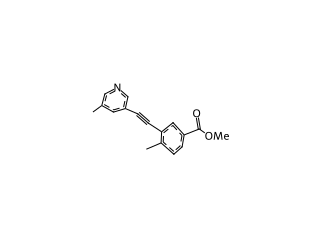 COC(=O)c1ccc(C)c(C#Cc2cncc(C)c2)c1